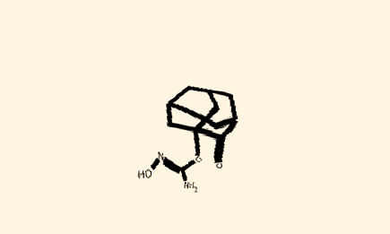 NC(=NO)OC12CC3CC(CC(C3)C1=O)C2